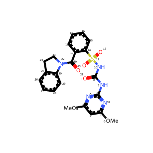 COc1cc(OC)nc(NC(=O)NS(=O)(=O)c2ccccc2C(=O)N2CCc3ccccc32)n1